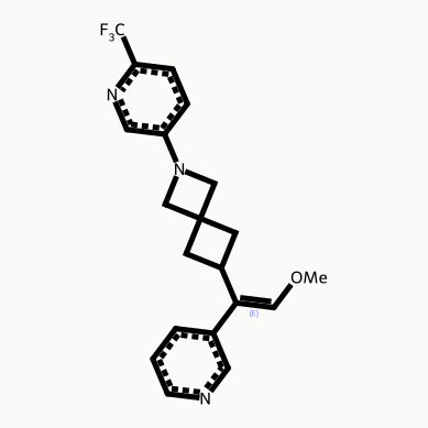 CO/C=C(/c1cccnc1)C1CC2(C1)CN(c1ccc(C(F)(F)F)nc1)C2